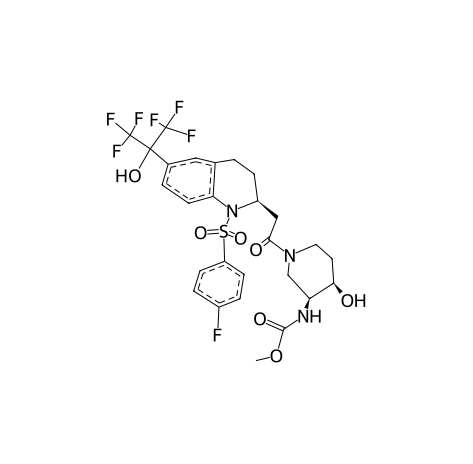 COC(=O)N[C@H]1CN(C(=O)C[C@@H]2CCc3cc(C(O)(C(F)(F)F)C(F)(F)F)ccc3N2S(=O)(=O)c2ccc(F)cc2)CC[C@H]1O